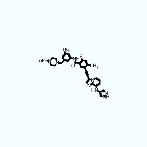 CCCN1CCN(Cc2cc(NC(=O)c3cc(C#Cc4cnc5c(Nc6cn[nH]c6)cccn45)c(C)cc3F)cc(C(C)(C)C)c2)CC1